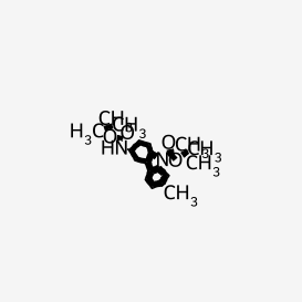 Cc1ccc2c3c(n(C(=O)OC(C)(C)C)c2c1)CC[C@@H](NC(=O)OC(C)(C)C)C3